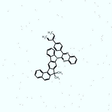 C=C/C(=C\C)c1ccc(-c2nc3ccccc3nc2-n2c3ccccc3c3cc4c(cc32)C(C)(C)c2ccc3ccccc3c2-4)cc1